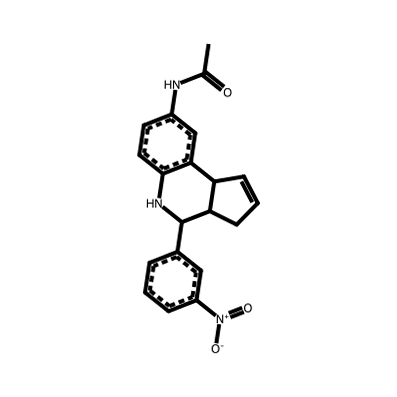 CC(=O)Nc1ccc2c(c1)C1C=CCC1C(c1cccc([N+](=O)[O-])c1)N2